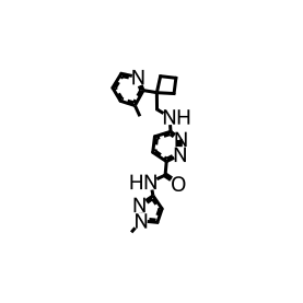 Cc1cccnc1C1(CNc2ccc(C(=O)Nc3ccn(C)n3)nn2)CCC1